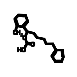 Cc1ccccc1C(CCCCCc1ccccc1)OC(=O)O